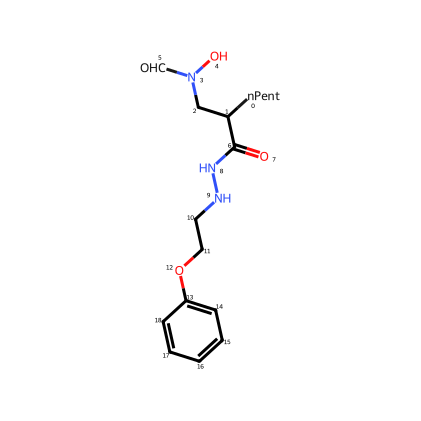 CCCCCC(CN(O)C=O)C(=O)NNCCOc1ccccc1